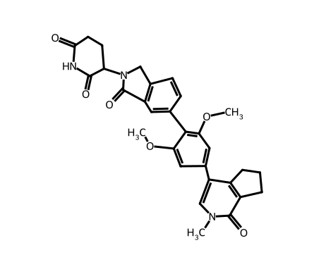 COc1cc(-c2cn(C)c(=O)c3c2CCC3)cc(OC)c1-c1ccc2c(c1)C(=O)N(C1CCC(=O)NC1=O)C2